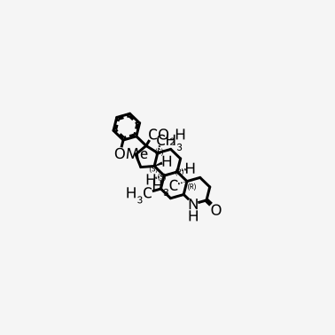 COc1ccccc1C1(C(=O)O)CC[C@H]2[C@@H]3C(C)CC4NC(=O)CC[C@]4(C)[C@@H]3CC[C@@]21C